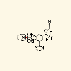 N#CCOC(c1cc(-c2nccs2)c2oc(N3CC4CCC(C3)N4C(=O)O)nc2c1)C(F)(F)F